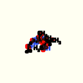 COc1ccc(C(OCC2O[C@@H](n3cc(C)c(=O)[nH]c3=O)CC2OP(=O)(OCCN)OC[C@H]2O[C@@H](n3cnc4c(NC(=O)c5ccc(CNC(=O)OCC6c7ccccc7-c7ccccc76)cc5)ncnc43)CC2OC(=O)CCC(C)=O)(c2ccccc2)c2ccc(OC)cc2)cc1